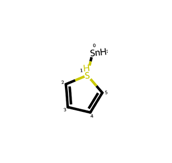 [SnH][SH]1C=CC=C1